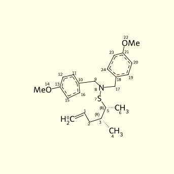 C=CC[C@@H](C)[C@@H](C)SN(Cc1ccc(OC)cc1)Cc1ccc(OC)cc1